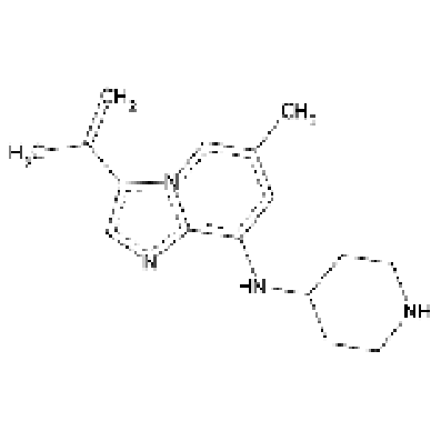 C=C(C)c1cnc2c(NC3CCNCC3)cc(C)cn12